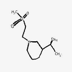 [CH2]C(O)C1CCCN(CCS(C)(=O)=O)C1